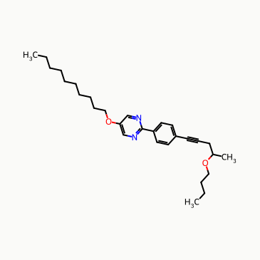 CCCCCCCCCCOc1cnc(-c2ccc(C#CCC(C)OCCCC)cc2)nc1